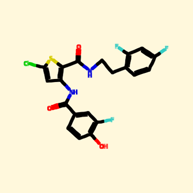 O=C(Nc1cc(Cl)sc1C(=O)NCCc1ccc(F)cc1F)c1ccc(O)c(F)c1